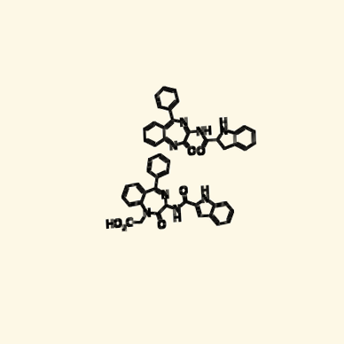 O=C(Nc1nc(-c2ccccc2)c2ccccc2nc1=O)C1Cc2ccccc2N1.O=C(O)CN1C(=O)C(NC(=O)c2cc3ccccc3[nH]2)N=C(c2ccccc2)c2ccccc21